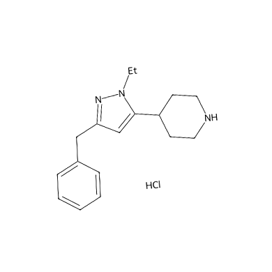 CCn1nc(Cc2ccccc2)cc1C1CCNCC1.Cl